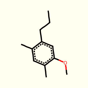 CCCc1cc(OC)c(C)cc1C